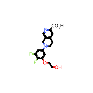 O=C(O)c1cc2c(cn1)CN(c1cc(F)c(F)c(OCCO)c1)CC2